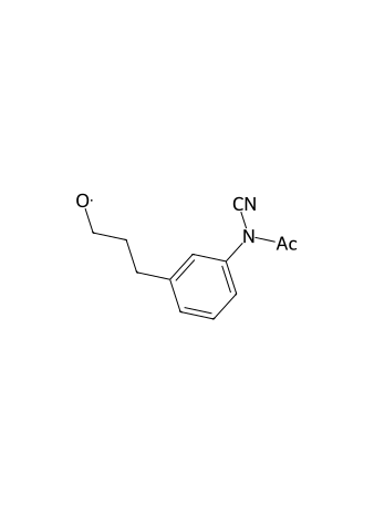 CC(=O)N(C#N)c1cccc(CCC[O])c1